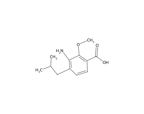 COc1c(C(=O)O)ccc(CC(C)C)c1N